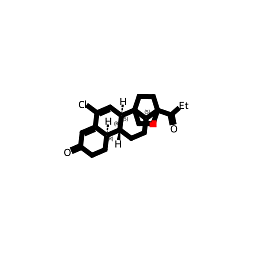 CCC(=O)C12CCC3(CC1)[C@@H]1C=C(Cl)C4=CC(=O)CC[C@@H]4[C@H]1CC[C@]23C